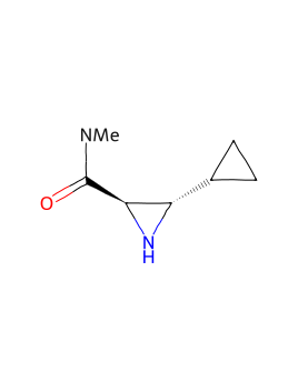 CNC(=O)[C@@H]1N[C@H]1C1CC1